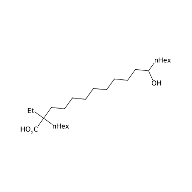 CCCCCCC(O)CCCCCCCCCC(CC)(CCCCCC)C(=O)O